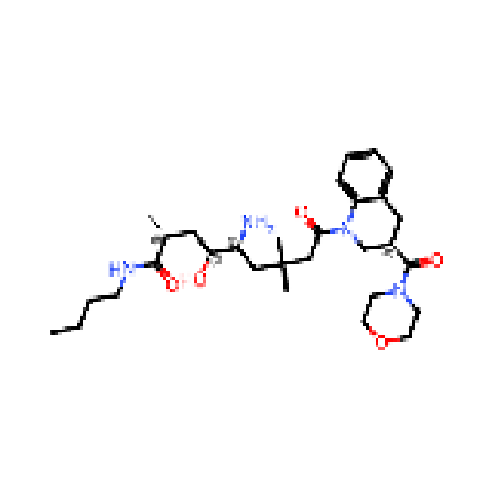 CCCCNC(=O)[C@H](C)C[C@H](O)[C@@H](N)CC(C)(C)CC(=O)N1C[C@H](C(=O)N2CCOCC2)Cc2ccccc21